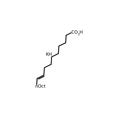 CCCCCCCC/C=C/CCCCCCCC(=O)O.[KH]